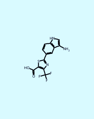 Nc1c[nH]c2ccc(-c3nc(C(F)(F)F)c(C(=O)O)s3)cc12